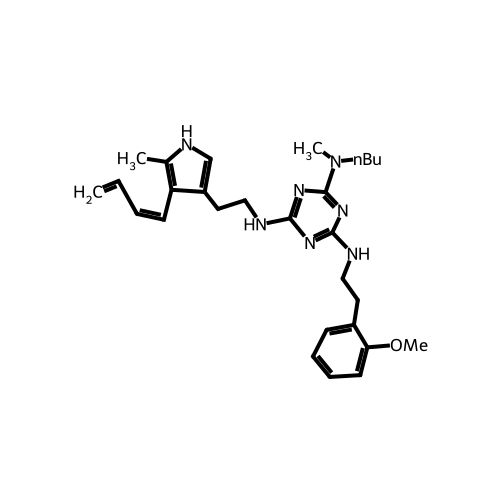 C=C/C=C\c1c(CCNc2nc(NCCc3ccccc3OC)nc(N(C)CCCC)n2)c[nH]c1C